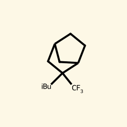 CCC(C)C1(C(F)(F)F)CC2CCC1C2